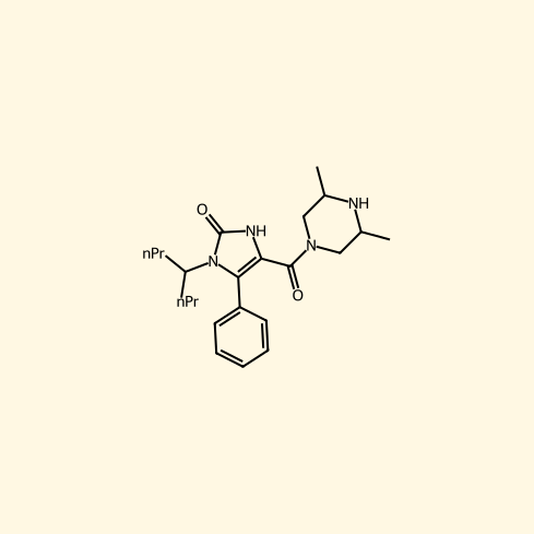 CCCC(CCC)n1c(-c2ccccc2)c(C(=O)N2CC(C)NC(C)C2)[nH]c1=O